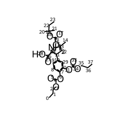 CCCOC(=O)Oc1ccc(C(CC(C)OC(=O)OC(C)(C)CC)[C@H](N)C(=O)O)cc1OC(=O)OCCC